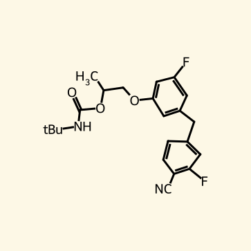 CC(COc1cc(F)cc(Cc2ccc(C#N)c(F)c2)c1)OC(=O)NC(C)(C)C